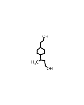 CC(CCO)C1CCC(CCO)CC1